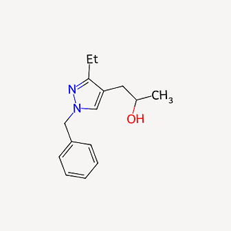 [CH2]Cc1nn(Cc2ccccc2)cc1CC(C)O